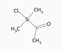 CC(=O)[Si](C)(C)Cl